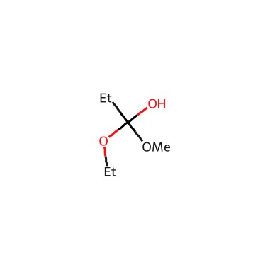 CCOC(O)(CC)OC